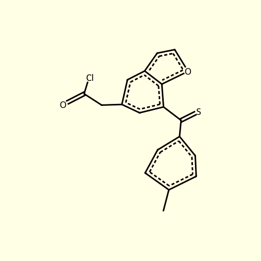 Cc1ccc(C(=S)c2cc(CC(=O)Cl)cc3ccoc23)cc1